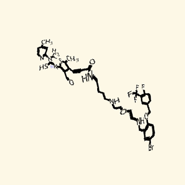 Cc1ccnc(N(C)/C(S)=N\c2sc(C)c(C#CC(=O)NCCCCNCCOCCNCc3cc(Br)ccc3OCc3ccc(F)c(C(F)(F)F)c3)c2C=O)c1